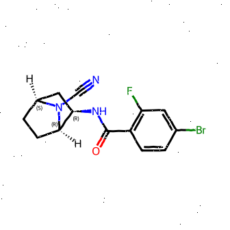 N#CN1[C@H]2CC[C@@H]1[C@H](NC(=O)c1ccc(Br)cc1F)C2